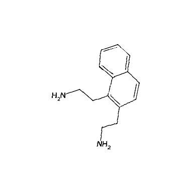 NCCc1ccc2ccccc2c1CCN